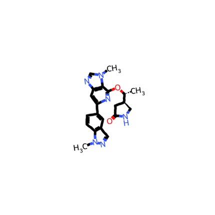 C[C@@H](Oc1nc(-c2ccc3c(cnn3C)c2)cc2ncn(C)c12)[C@H]1CNC(=O)C1